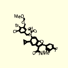 CNC(=O)c1c(-c2ccc(F)cc2)oc2cc(N(Cc3cc(Cl)c(Br)c(COCOC)c3)[SH](=O)=O)c(C3CC3)cc12